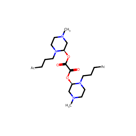 CC(=O)CCCN1CCN(C)C[C@H]1OC(=O)C(=O)O[C@@H]1CN(C)CCN1CCCC(C)=O